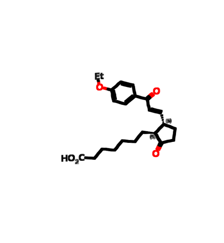 CCOc1ccc(C(=O)C=C[C@@H]2CCC(=O)[C@H]2CCCCCCC(=O)O)cc1